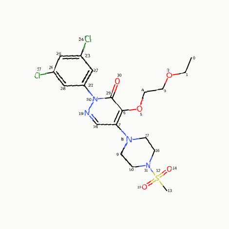 CCOCCOc1c(N2CCN(S(C)(=O)=O)CC2)cnn(-c2cc(Cl)cc(Cl)c2)c1=O